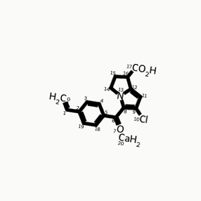 C=Cc1ccc(C(=O)c2c(Cl)cc3n2CCC3C(=O)O)cc1.[CaH2]